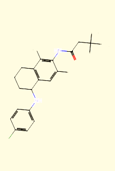 Cc1cc2c(c(C)c1NC(=O)CC(C)(C)C)CCCC2Nc1ccc(Cl)cc1